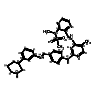 CN(c1nccnc1CNc1nc(Nc2ccc(CNc3cccc(C4CCCNC4)c3)cc2)ncc1C(F)(F)F)S(C)(=O)=O